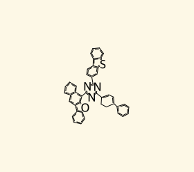 C1=C(c2ccccc2)CCC(c2nc(-c3ccc4c(c3)sc3ccccc34)nc(-c3c4ccccc4cc4c3oc3ccccc34)n2)=C1